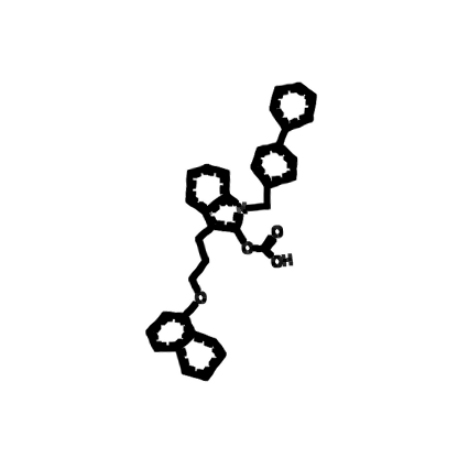 O=C(O)Oc1c(CCCOc2cccc3ccccc23)c2ccccc2n1Cc1ccc(-c2ccccc2)cc1